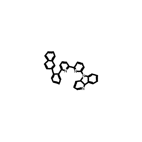 C1=CC2C(N=C1)c1ccccc1N2c1cccc(-c2cccc(-c3ccccc3-c3ccc4ccccc4c3)n2)n1